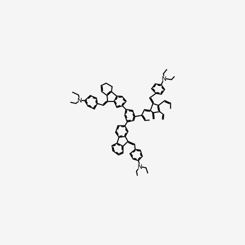 C=CC1=C(/C=C\C)C(=C\c2ccc(N(CC)CC)cc2)/C(=C/C(=C\C)c2cc(-c3ccc4c(c3)/C(=C/c3ccc(N(CC)CC)cc3)C3=C4CCC=C3)cc(-c3ccc4c(c3)/C(=C/c3ccc(N(CC)CC)cc3)c3ccccc3-4)c2)C1=C